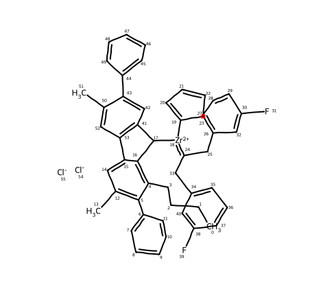 CCCCc1c(-c2ccccc2)c(C)cc2c1[CH]([Zr+2]([C]1=CC=CC1)=[C](Cc1cccc(F)c1)Cc1cccc(F)c1)c1cc(-c3ccccc3)c(C)cc1-2.[Cl-].[Cl-]